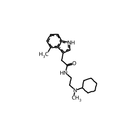 Cc1cccc2[nH]cc(CC(=O)NCCN(C)C3CCCCC3)c12